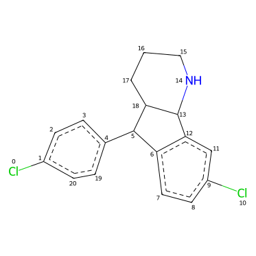 Clc1ccc(C2c3ccc(Cl)cc3C3NCCCC32)cc1